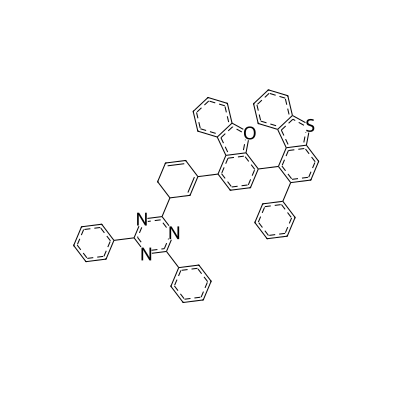 C1=CC(c2ccc(-c3c(-c4ccccc4)ccc4sc5ccccc5c34)c3oc4ccccc4c23)=CC(c2nc(-c3ccccc3)nc(-c3ccccc3)n2)C1